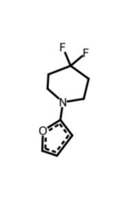 FC1(F)CCN(c2ccco2)CC1